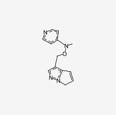 CN(OCc1cnn2c1C=CC2)c1ccncc1